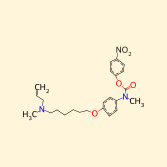 C=CCN(C)CCCCCCOc1ccc(N(C)C(=O)Oc2ccc([N+](=O)[O-])cc2)cc1